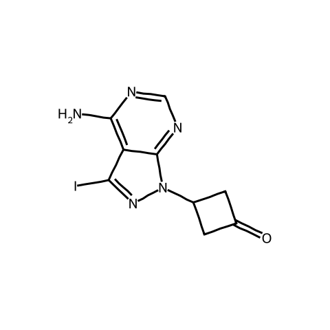 Nc1ncnc2c1c(I)nn2C1CC(=O)C1